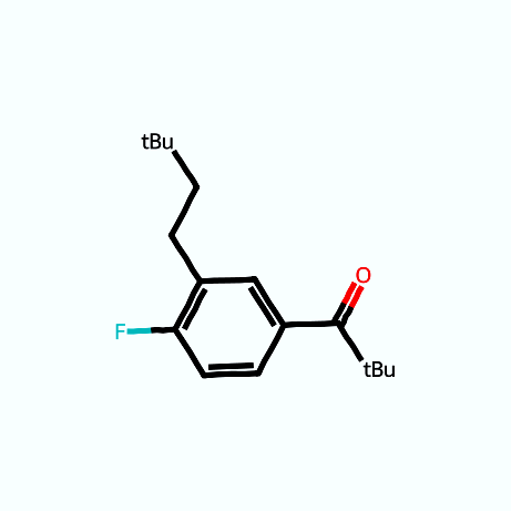 CC(C)(C)CCc1cc(C(=O)C(C)(C)C)ccc1F